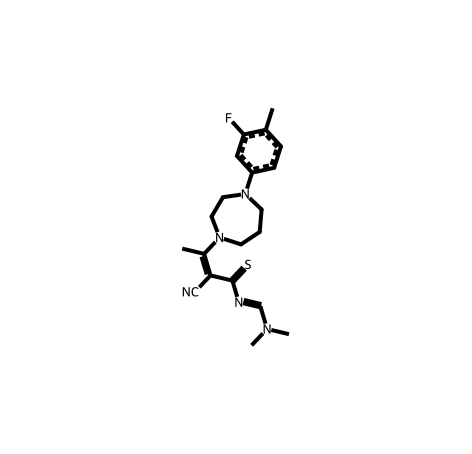 CC(=C(C#N)C(=S)N=CN(C)C)N1CCCN(c2ccc(C)c(F)c2)CC1